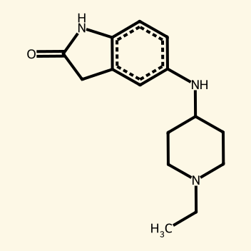 CCN1CCC(Nc2ccc3c(c2)CC(=O)N3)CC1